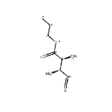 CCCOC(=O)[C@@H](O)[C@H](O)C=O